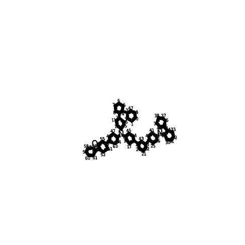 c1ccc(-c2ccccc2-c2ccc(N(c3ccc(-c4cccc(-c5ccc(-n6c7ccccc7c7ccccc76)cc5)c4)cc3)c3ccc(-c4ccc5c(c4)oc4ccccc45)cc3)cc2)cc1